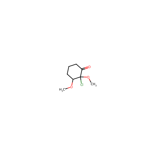 COC1CCCC(=O)C1(Cl)OC